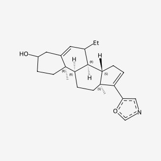 CCC1C=C2CC(O)CC[C@]2(C)[C@@H]2CC[C@]3(C)C(c4cnco4)=CC[C@H]3[C@H]12